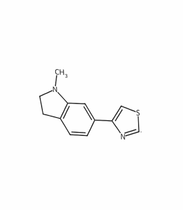 CN1CCc2ccc(-c3cs[c]n3)cc21